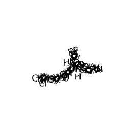 Cc1nccc(-c2ccc(CC(NC(=O)[C@@H]3Cc4cc5c(cc4CN3C(=O)Nc3ccc(F)c(F)c3)O[C@@H](c3ccc(OCc4ccc(Cl)c(Cl)c4)cc3)CO5)C(=O)O)cc2)c1C